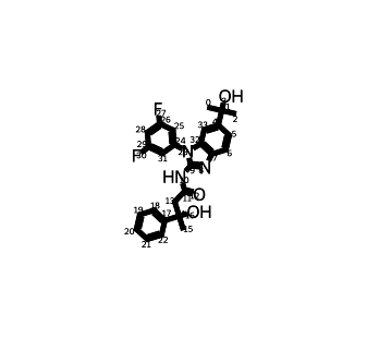 CC(C)(O)c1ccc2nc(NC(=O)CC(C)(O)c3ccccc3)n(-c3cc(F)cc(F)c3)c2c1